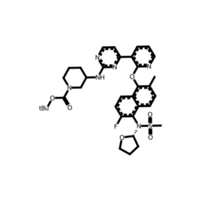 Cc1ccc2c(N([C@@H]3CCCO3)S(C)(=O)=O)c(F)ccc2c1Oc1ncccc1-c1ccnc(NC2CCCN(C(=O)OC(C)(C)C)C2)n1